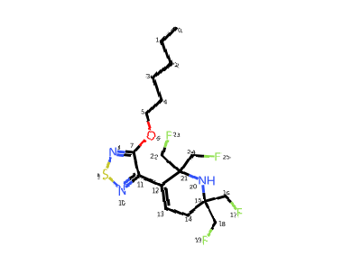 CCCCCCOc1nsnc1C1=CCC(CF)(CF)NC1(CF)CF